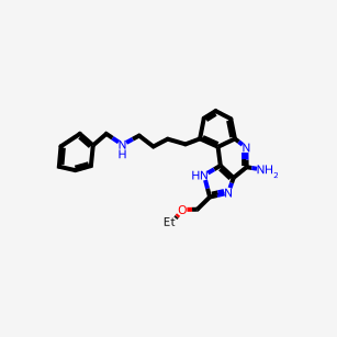 CCOCc1nc2c(N)nc3cccc(CCCCNCc4ccccc4)c3c2[nH]1